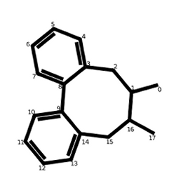 CC1Cc2ccccc2-c2ccccc2CC1C